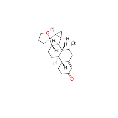 CC[C@@H]1CC2=CC(=O)CC[C@@H]2[C@H]2CC[C@@]3(CC)[C@@H]([C@@H]4C[C@@H]4[C@@]34CCCO4)[C@H]12